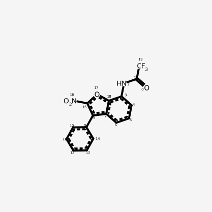 O=C(Nc1cccc2c(-c3ccccc3)c([N+](=O)[O-])oc12)C(F)(F)F